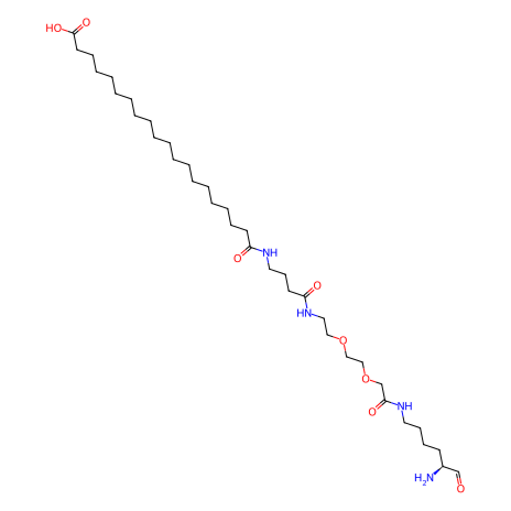 N[C@H](C=O)CCCCNC(=O)COCCOCCNC(=O)CCCNC(=O)CCCCCCCCCCCCCCCCCCC(=O)O